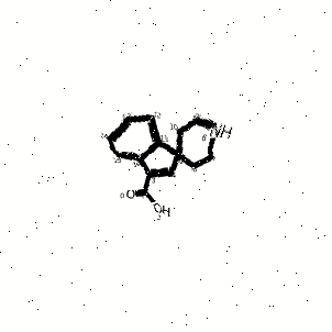 O=C(O)C1=CC2(CCNCC2)c2ccccc21